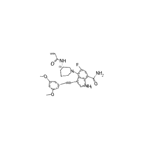 C=CC(=O)N[C@H]1CCCN(c2c(F)cc(C(N)=O)c3[nH]cc(C#Cc4cc(OC)cc(OC)c4)c23)C1